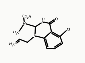 C=CCN1c2cccc(Cl)c2C(=O)NC1N(C)C(=O)O